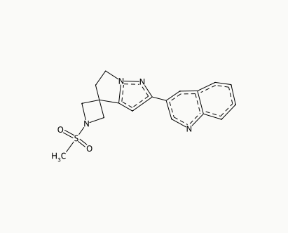 CS(=O)(=O)N1CC2(CCn3nc(-c4cnc5ccccc5c4)cc32)C1